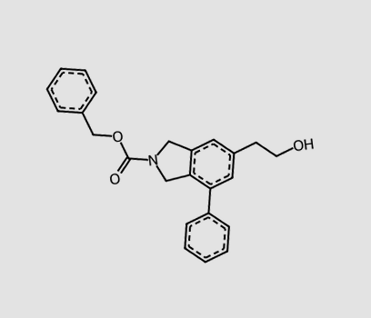 O=C(OCc1ccccc1)N1Cc2cc(CCO)cc(-c3ccccc3)c2C1